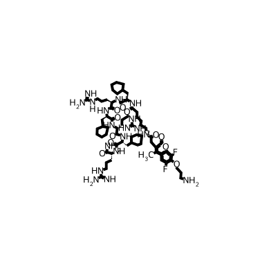 Cc1c(CC(=O)NCCCCCC(=O)N[C@H](CC2CCCCC2)C(=O)N[C@H](CCCNC(=N)N)C(=O)N[C@H](CC2CCCCC2)C(=O)N[C@H](CCCNC(=N)N)C(=O)N[C@H](CC2CCCCC2)C(=O)N[C@H](CCCNC(=N)N)C(N)=O)c(=O)oc2c(F)c(OCCCN)c(F)cc12